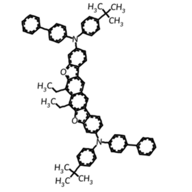 CCc1c2oc3cc(N(c4ccc(-c5ccccc5)cc4)c4ccc(C(C)(C)C)cc4)ccc3c2cc2cc3c(oc4cc(N(c5ccc(-c6ccccc6)cc5)c5ccc(C(C)(C)C)cc5)ccc43)c(CC)c12